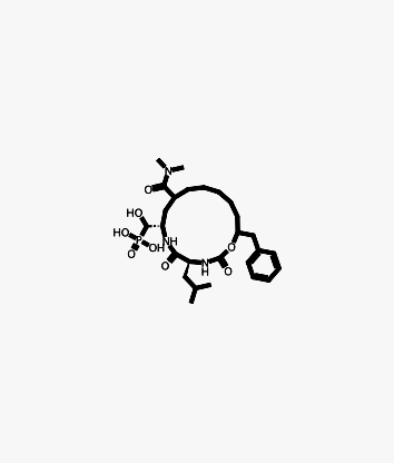 CC(C)C[C@@H]1NC(=O)OC(Cc2ccccc2)CCCCCC(C(=O)N(C)C)C[C@@H](C(O)P(=O)(O)O)NC1=O